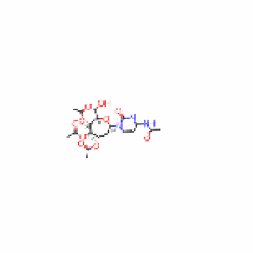 CC(=O)Nc1ccn([C@H]2C[C@H](OC(C)=O)[C@@H](OC(C)=O)[C@H](OC(C)=O)[C@@H](CO)O2)c(=O)n1